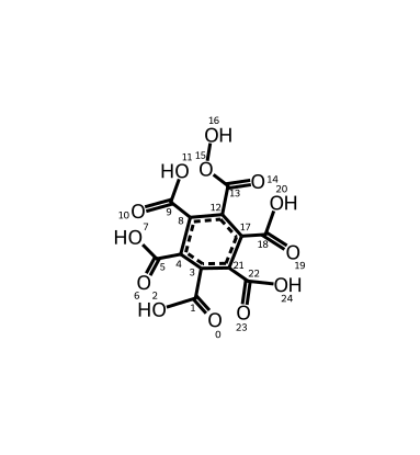 O=C(O)c1c(C(=O)O)c(C(=O)O)c(C(=O)OO)c(C(=O)O)c1C(=O)O